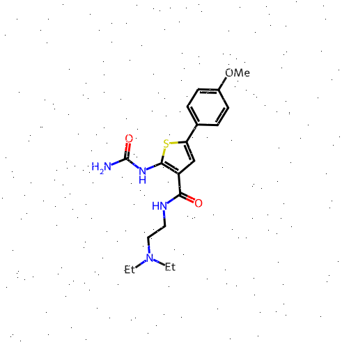 CCN(CC)CCNC(=O)c1cc(-c2ccc(OC)cc2)sc1NC(N)=O